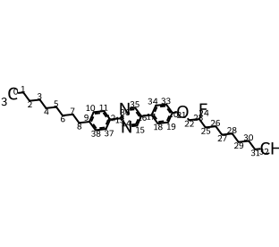 CCCCCCCCCc1ccc(-c2ncc(-c3ccc(OCC(F)CCCCCCCC)cc3)cn2)cc1